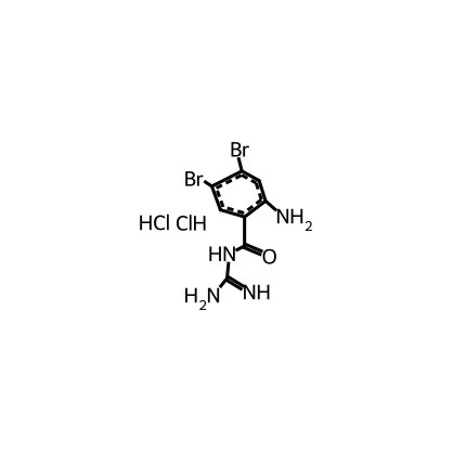 Cl.Cl.N=C(N)NC(=O)c1cc(Br)c(Br)cc1N